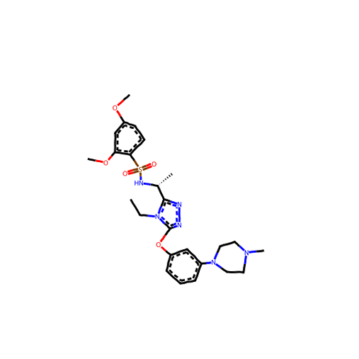 CCn1c(Oc2cccc(N3CCN(C)CC3)c2)nnc1[C@@H](C)NS(=O)(=O)c1ccc(OC)cc1OC